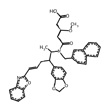 CO[C@H](CC(=O)O)CC(=O)N(Cc1ccc2ccccc2c1)C(C)C(C/C=C/c1nc2ccccc2o1)c1ccc2c(c1)OCO2